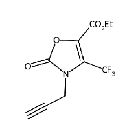 C#CCn1c(C(F)(F)F)c(C(=O)OCC)oc1=O